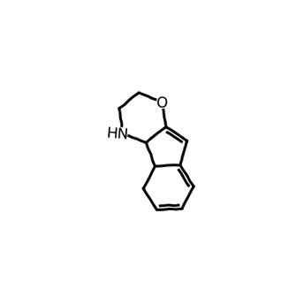 C1=CCC2C(=C1)C=C1OCCNC12